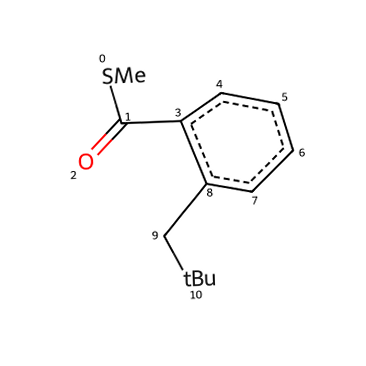 CSC(=O)c1ccccc1CC(C)(C)C